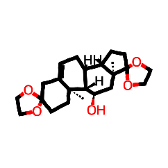 C[C@]12CCC3(CC1=CC[C@@H]1[C@@H]2[C@H](O)C[C@@]2(C)[C@H]1CCC21OCCO1)OCCO3